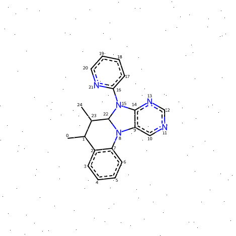 CC1c2ccccc2N2c3cncnc3N(c3ccccn3)C2C1C